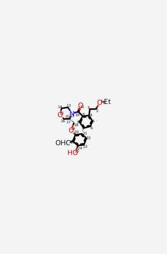 CCOCCc1ccccc1C(=O)N1CCOC[C@H]1COc1cccc(O)c1C=O